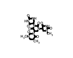 CC1CN(C)C(=O)N(C2CN(C3CN(C)C(=O)NC3=O)C(=O)N(C3CNC(=O)NC3=O)C2=O)C1=O